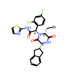 CC(C)C[C@@H]1C(=O)N[C@H](C2Cc3ccccc3C2)C(=O)N1[C@@H](C(=O)Nc1nccs1)c1ccc(F)cc1F